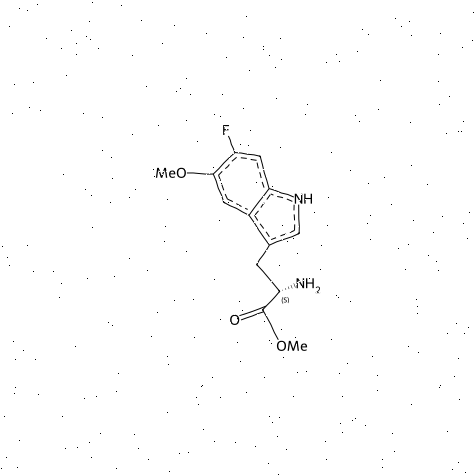 COC(=O)[C@@H](N)Cc1c[nH]c2cc(F)c(OC)cc12